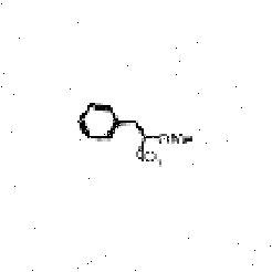 COC(Cc1ccccc1)[N+](=O)[O-]